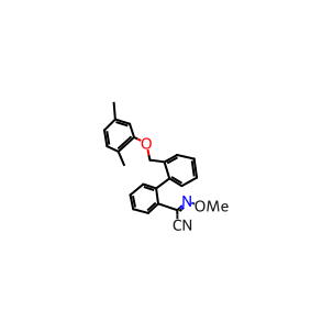 CON=C(C#N)c1ccccc1-c1ccccc1COc1cc(C)ccc1C